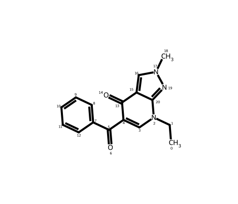 CCn1cc(C(=O)c2ccccc2)c(=O)c2cn(C)nc21